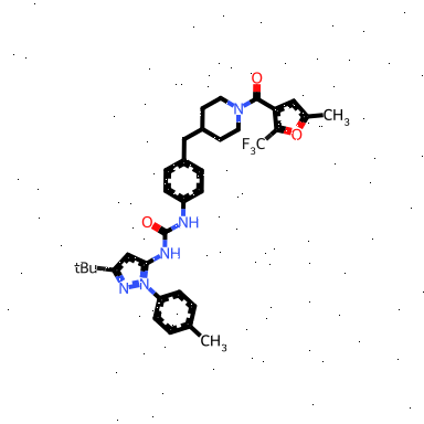 Cc1ccc(-n2nc(C(C)(C)C)cc2NC(=O)Nc2ccc(CC3CCN(C(=O)c4cc(C)oc4C(F)(F)F)CC3)cc2)cc1